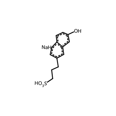 O=S(=O)(O)CCCc1ccc2ccc(O)cc2c1.[NaH]